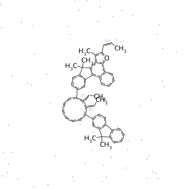 C/C=C\c1oc2c(c1C)c1c(c3ccccc32)-c2cc(-c3ccccccc(-c4ccc5c(c4)C(C)(C)c4ccccc4-5)c(=C/C)/c3=C\C)ccc2C1(C)C